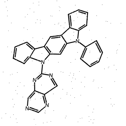 c1ccc(-n2c3ccccc3c3cc4c5ccccc5n(-c5ncc6ncncc6n5)c4cc32)cc1